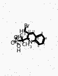 CC(C)(c1nc2ccccc2cc1CBr)P(=O)(O)O